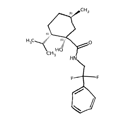 CC(C)[C@@H]1CC[C@@H](C)C[C@@]1(O)C(=O)NCC(F)(F)c1ccccc1